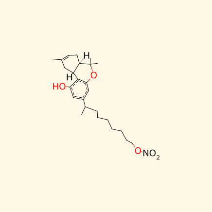 CC1=CC[C@@H]2[C@@H](C1)c1c(O)cc(C(C)CCCCCCCO[N+](=O)[O-])cc1OC2(C)C